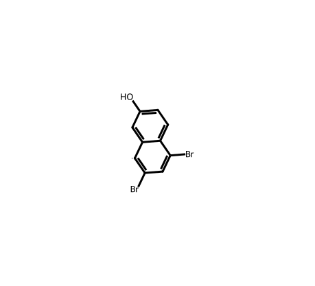 Oc1ccc2c(Br)cc(Br)[c]c2c1